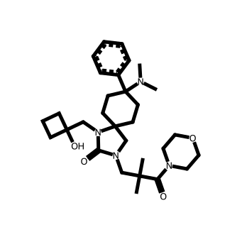 CN(C)C1(c2ccccc2)CCC2(CC1)CN(CC(C)(C)C(=O)N1CCOCC1)C(=O)N2CC1(O)CCC1